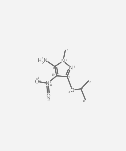 CC(C)Oc1nn(C)c(N)c1[N+](=O)[O-]